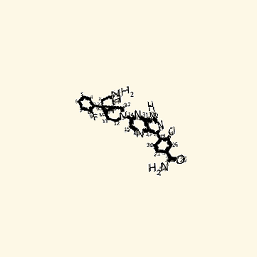 NC[C@]1(c2ccccc2F)[C@@H]2CCN(c3cnc4c(-c5ccc(C(N)=O)cc5Cl)n[nH]c4n3)C[C@@H]21